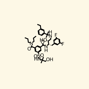 CCCN(CCC)C(=O)c1cc(C(=O)N[C@@H](Cc2cc(F)cc(F)c2)[C@H](O)CNC(C)(C)c2cccc(CC)c2)cc(S(=O)(=O)NC(C)(C)CO)c1